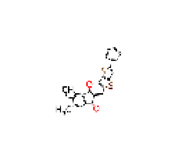 CCc1cc2c(cc1C)C(=O)/C(=C/c1cc3sc(-c4ccccc4)cc3s1)C2=O